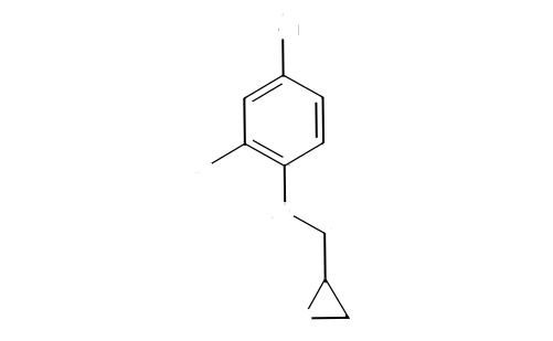 CCc1cc(C)ccc1OCC1CO1